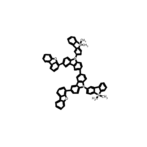 C[Si]1(C)c2ccccc2-c2cc(-n3c4ccc(-c5ccc6c(c5)c5cc(-c7cccc8c7oc7ccccc78)ccc5n6-c5ccc6c(c5)-c5ccccc5[Si]6(C)C)cc4c4cc(-c5cccc6c5oc5ccccc56)ccc43)ccc21